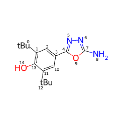 CC(C)(C)c1cc(-c2nnc(N)o2)cc(C(C)(C)C)c1O